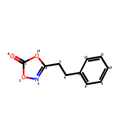 O=c1onc(CCc2ccccc2)o1